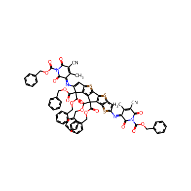 CC1=C(C#N)C(=O)N(C(=O)OCc2ccccc2)C(=O)/C1=N/C1=Cc2sc3c(c2C1(C(=O)OCc1ccccc1)C(=O)OCc1ccccc1)C(C(=O)OCc1ccccc1)(C(=O)OCc1ccccc1)c1c-3sc2cc(/N=C3/C(=O)N(C(=O)OCc4ccccc4)C(=O)C(C#N)=C3C)sc12